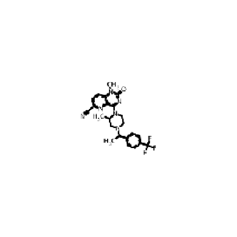 CC(c1ccc(C(F)(F)F)cc1)N1CCN(c2nc(=O)n(C)c3ccc(C#N)nc23)C(C)C1